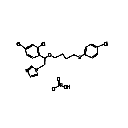 Clc1ccc(SCCCCOC(Cn2ccnc2)c2ccc(Cl)cc2Cl)cc1.O=[N+]([O-])O